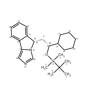 CC(C)(C)[Si](C)(C)O[C@H](C[C@H]1c2ccccc2-c2cncn21)C1CCCCC1